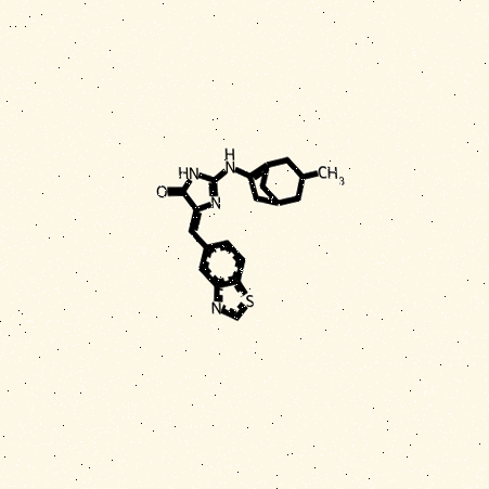 CC1CC2=C(NC3=N/C(=C\c4ccc5scnc5c4)C(=O)N3)CC(C2)C1